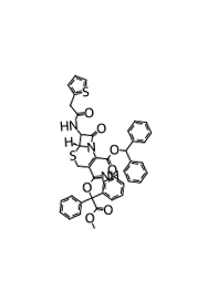 COC(=O)C(OC(=N)C1=C(C(=O)OC(c2ccccc2)c2ccccc2)N2C(=O)C(NC(=O)Cc3cccs3)[C@H]2SC1)(c1ccccc1)c1ccccc1